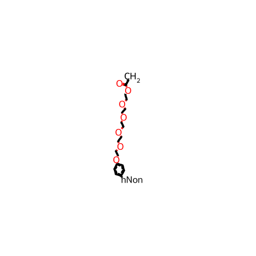 C=CC(=O)OCCOCCOCCOCCOCCOc1ccc(CCCCCCCCC)cc1